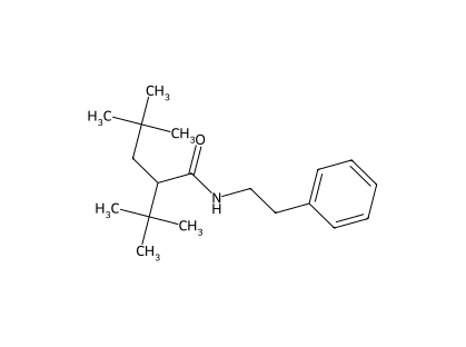 CC(C)(C)CC(C(=O)NCCc1ccccc1)C(C)(C)C